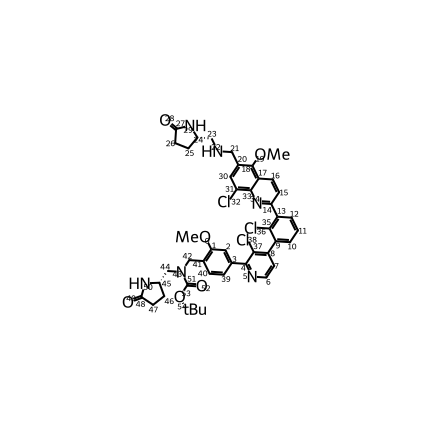 COc1cc(-c2nccc(-c3cccc(-c4ccc5c(OC)c(CNC[C@@H]6CCC(=O)N6)cc(Cl)c5n4)c3Cl)c2Cl)ccc1CN(C[C@@H]1CCC(=O)N1)C(=O)OC(C)(C)C